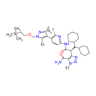 CCc1c(-c2ccc(NC(=O)[C@H](c3nnn(CC)c3C(N)=O)C(C3CCCCC3)C3CCCCC3)nc2F)c(C)nn1COCC[Si](C)(C)C